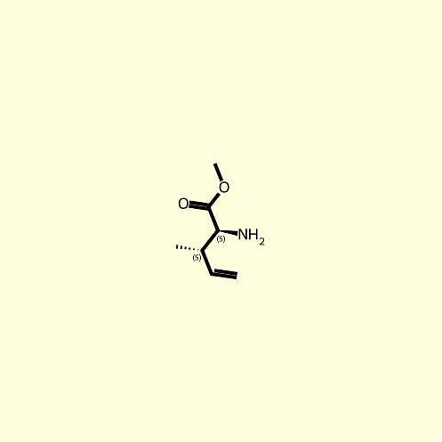 C=C[C@H](C)[C@H](N)C(=O)OC